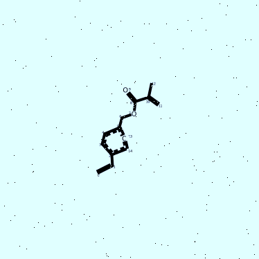 C=Cc1ccc(COC(=O)C(=C)C)cc1